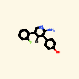 CCc1c(-c2ccccc2F)cnc(N)c1-c1ccc(O)cc1